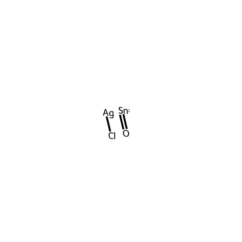 [Cl][Ag].[O]=[Sn]